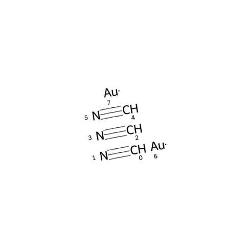 C#N.C#N.C#N.[Au].[Au]